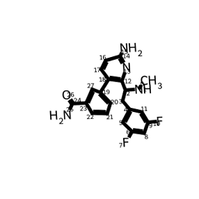 CNC(Cc1cc(F)cc(F)c1)c1nc(N)ccc1-c1cccc(C(N)=O)c1